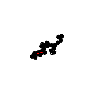 c1cc(-c2cccc3oc4ccccc4c23)cc(N(c2ccc(-c3ccc(-c4cccc(-n5c6ccccc6c6ccccc65)c4)cc3)cc2)c2ccc(-c3cc4cccc(-c5ccc6c(c5)oc5cccc(-c7cccc(N(c8ccc(-c9ccc(-c%10cccc(-n%11c%12ccccc%12c%12ccccc%12%11)c%10)cc9)cc8)c8ccccc8-c8ccc9c(ccc%10ccccc%109)c8)c7)c56)c4c4ccccc34)cc2)c1